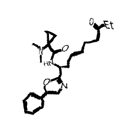 CCC(=O)CCCCC[C@H](NC(=O)C1(N(C)C)CC1)c1ncc(-c2ccccc2)o1